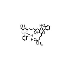 CCC1CC(CCCC(O)CC2CC(CCC[C@H](C)O)OC(c3ccccc3O)O2)OC(c2ccccc2O)O1